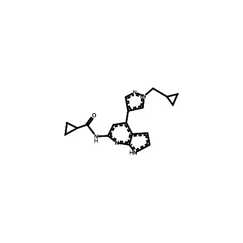 O=C(Nc1cc(-c2cnn(CC3CC3)c2)c2cc[nH]c2n1)C1CC1